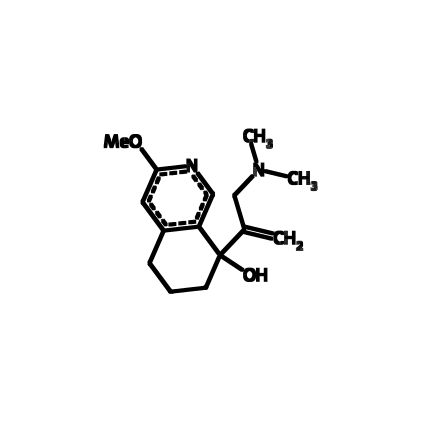 C=C(CN(C)C)C1(O)CCCc2cc(OC)ncc21